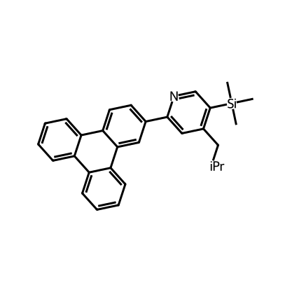 CC(C)Cc1cc(-c2ccc3c4ccccc4c4ccccc4c3c2)ncc1[Si](C)(C)C